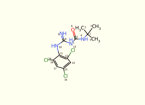 CC(C)(C)NC(=O)NC(=N)Nc1c(Cl)cc(Cl)cc1Cl